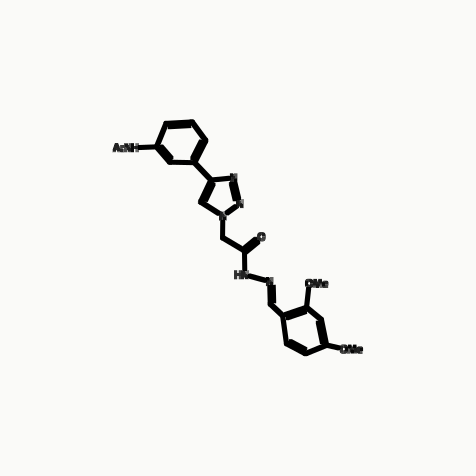 COc1ccc(C=NNC(=O)Cn2cc(-c3cccc(NC(C)=O)c3)nn2)c(OC)c1